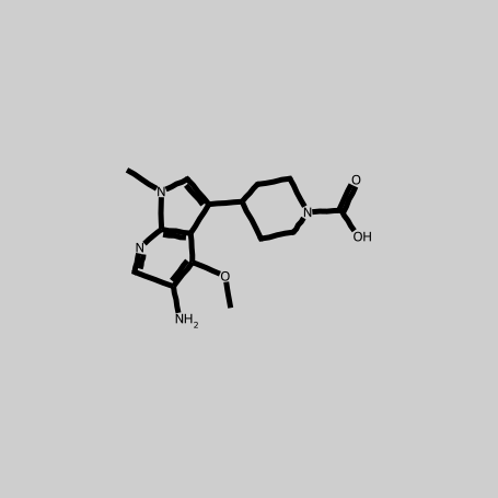 COc1c(N)cnc2c1c(C1CCN(C(=O)O)CC1)cn2C